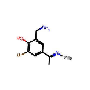 CON=C(C)c1cc(Br)c(O)c(CN)c1